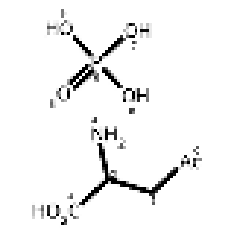 CC(=O)CC(N)C(=O)O.O=P(O)(O)O